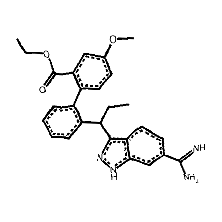 CCOC(=O)c1cc(OC)ccc1-c1ccccc1C(CC)c1n[nH]c2cc(C(=N)N)ccc12